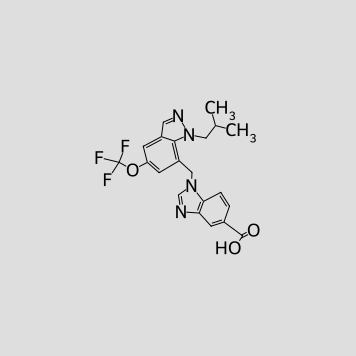 CC(C)Cn1ncc2cc(OC(F)(F)F)cc(Cn3cnc4cc(C(=O)O)ccc43)c21